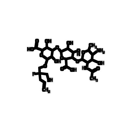 C=CCC(F)(CS)COC1OC(C(=O)O)C(O)C(OC2OC(C(=O)O)C(OC3OC(C)C(N)C(O)C3NC(C)=O)C(O)C2O)C1O